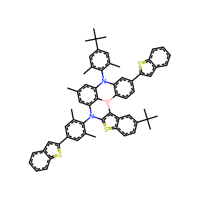 Cc1cc2c3c(c1)N(c1c(C)cc(-c4cc5ccccc5s4)cc1C)c1sc4ccc(C(C)(C)C)cc4c1B3c1ccc(-c3cc4ccccc4s3)cc1N2c1c(C)cc(C(C)(C)C)cc1C